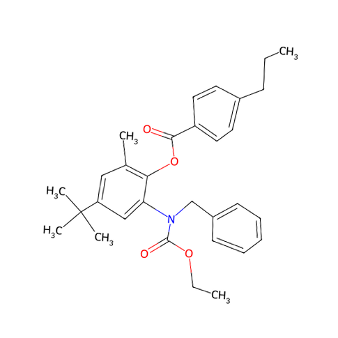 CCCc1ccc(C(=O)Oc2c(C)cc(C(C)(C)C)cc2N(Cc2ccccc2)C(=O)OCC)cc1